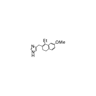 CCC1=C(Cc2c[nH]cn2)CCc2ccc(OC)cc21